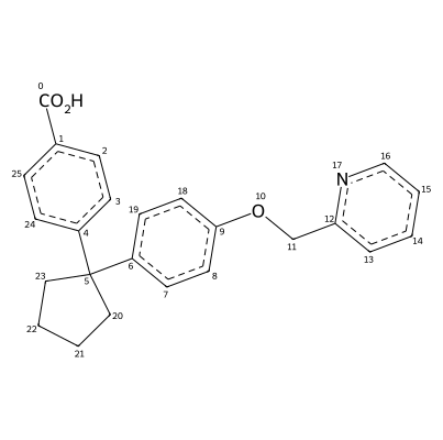 O=C(O)c1ccc(C2(c3ccc(OCc4ccccn4)cc3)CCCC2)cc1